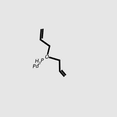 C=CCOCC=C.P.[Pd]